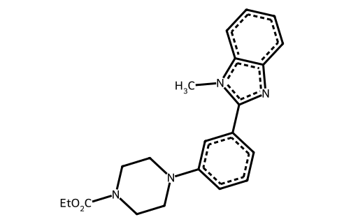 CCOC(=O)N1CCN(c2cccc(-c3nc4ccccc4n3C)c2)CC1